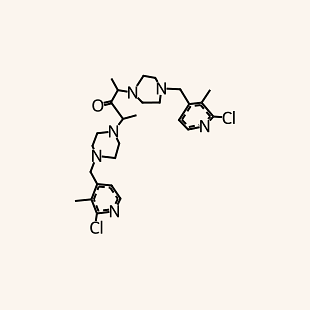 Cc1c(CN2CCN(C(C)C(=O)C(C)N3CCN(Cc4ccnc(Cl)c4C)CC3)CC2)ccnc1Cl